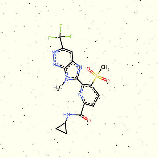 Cn1c(-c2nc(C(=O)NC3CC3)ccc2S(C)(=O)=O)nc2cc(C(F)(F)F)nnc21